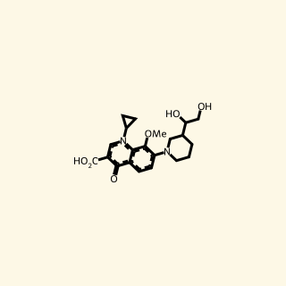 COc1c(N2CCCC(C(O)CO)C2)ccc2c(=O)c(C(=O)O)cn(C3CC3)c12